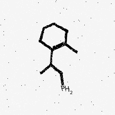 CC1=C(C(C)CP)CCCC1